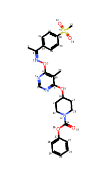 CC(=NOc1ncnc(OC2CCN(C(=O)Oc3ccccc3)CC2)c1C)c1ccc(S(C)(=O)=O)cc1